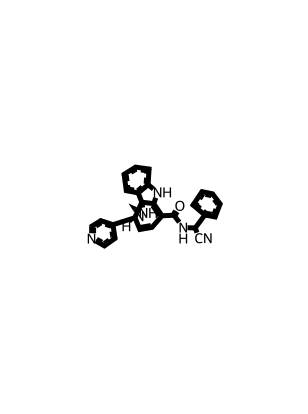 N#CC(NC(=O)C1=C2Nc3ccccc3C23NCN(c2ccncc2)[C@H]3C=C1)c1ccccc1